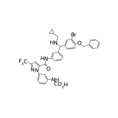 O=C(O)Nc1cccc(-n2nc(C(F)(F)F)cc2C(=O)Nc2cccc(C(NCC3CC3)c3ccc(OCc4ccccc4)c(Br)c3)c2)c1